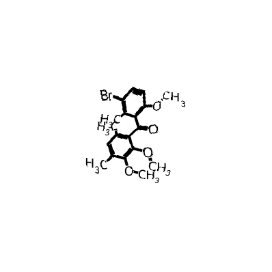 COc1ccc(Br)c(C)c1C(=O)c1c(C)cc(C)c(OC)c1OC